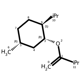 C=C(O[C@@H]1C[C@H](C)CC[C@H]1C(C)C)C(C)C